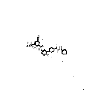 Cc1ncc(NC(=O)c2cc(C#N)cc(C(C)(C)C)c2)cc1-c1ccc(C(=O)NNC2CCCCC2)cc1